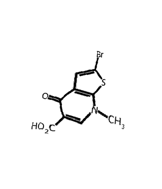 Cn1cc(C(=O)O)c(=O)c2cc(Br)sc21